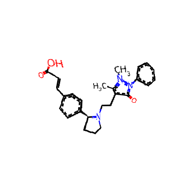 Cc1c(CCN2CCC[C@H]2c2ccc(/C=C/C(=O)O)cc2)c(=O)n(-c2ccccc2)n1C